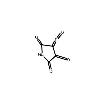 O=C=C1C(=O)NC(=O)C1=O